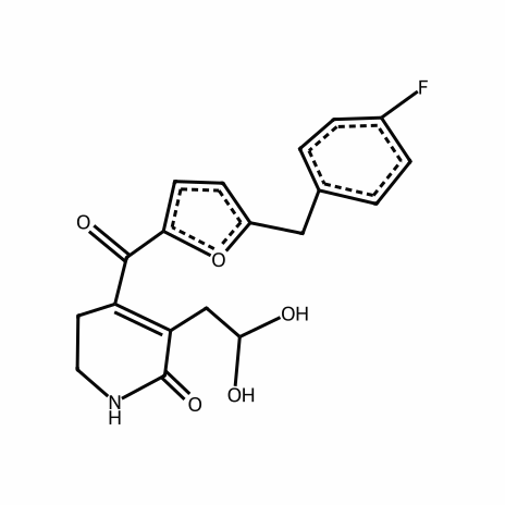 O=C1NCCC(C(=O)c2ccc(Cc3ccc(F)cc3)o2)=C1CC(O)O